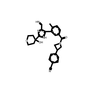 Cc1ccc(C(=O)N2CC(c3ccc(C#N)cc3)C2)cc1-c1[nH]c(C2(O)CCOCC2)nc1C=N